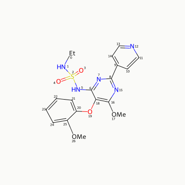 CCNS(=O)(=O)Nc1nc(-c2ccncc2)nc(OC)c1Oc1ccccc1OC